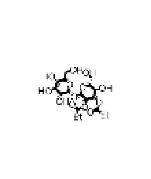 CCC(=O)O[C@H]1[C@@H](O[C@H]2O[C@H](CO)[C@@H](O)[C@H](O)[C@H]2O)O[C@H](CO)[C@@H](O)[C@@H]1OC(=O)CC